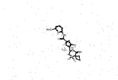 COc1cccc(NC(=O)c2cc(Cl)c([C@]3(C)CS(=O)(=O)C4(CCC4)C(=N)N3)s2)n1